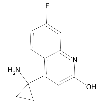 NC1(c2cc(O)nc3cc(F)ccc23)CC1